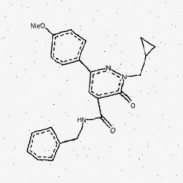 COc1ccc(-c2cc(C(=O)NCc3ccccc3)c(=O)n(CC3CC3)n2)cc1